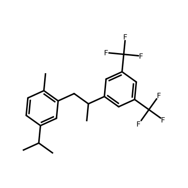 Cc1ccc(C(C)C)cc1CC(C)c1cc(C(F)(F)F)cc(C(F)(F)F)c1